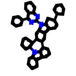 c1ccc(-c2ccc3c4cc5c(cc4n(-c4nc(-c6ccccc6)c6ccccc6n4)c3c2)-c2ccccc2-n2c3ccccc3c3cccc-5c32)cc1